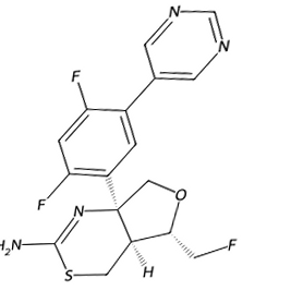 NC1=N[C@@]2(c3cc(-c4cncnc4)c(F)cc3F)CO[C@H](CF)[C@H]2CS1